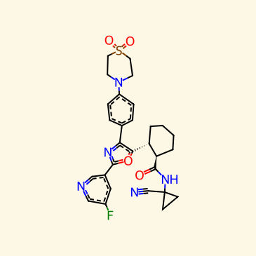 N#CC1(NC(=O)[C@@H]2CCCC[C@H]2c2oc(-c3cncc(F)c3)nc2-c2ccc(N3CCS(=O)(=O)CC3)cc2)CC1